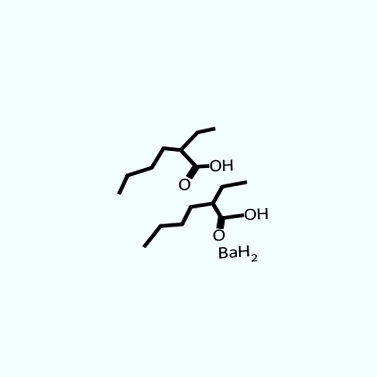 CCCCC(CC)C(=O)O.CCCCC(CC)C(=O)O.[BaH2]